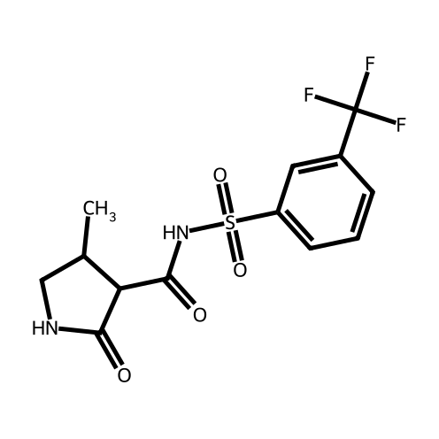 CC1CNC(=O)C1C(=O)NS(=O)(=O)c1cccc(C(F)(F)F)c1